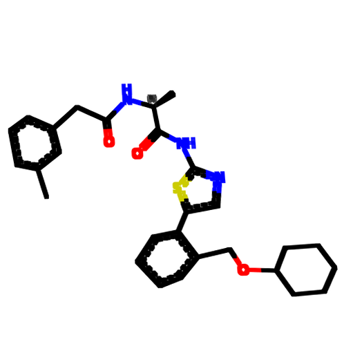 Cc1cccc(CC(=O)N[C@@H](C)C(=O)Nc2ncc(-c3ccccc3COC3CCCCC3)s2)c1